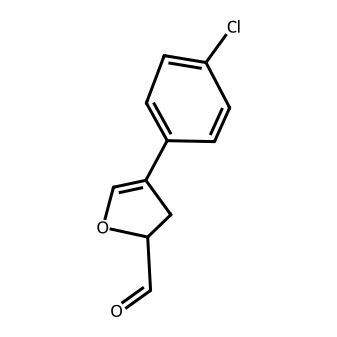 O=CC1CC(c2ccc(Cl)cc2)=CO1